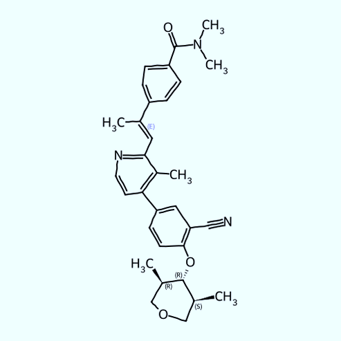 C/C(=C\c1nccc(-c2ccc(O[C@H]3[C@H](C)COC[C@@H]3C)c(C#N)c2)c1C)c1ccc(C(=O)N(C)C)cc1